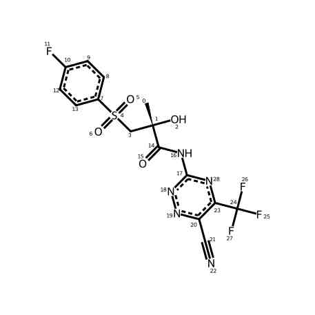 C[C@](O)(CS(=O)(=O)c1ccc(F)cc1)C(=O)Nc1nnc(C#N)c(C(F)(F)F)n1